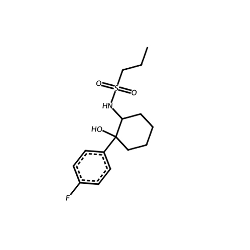 CCCS(=O)(=O)NC1CCCCC1(O)c1ccc(F)cc1